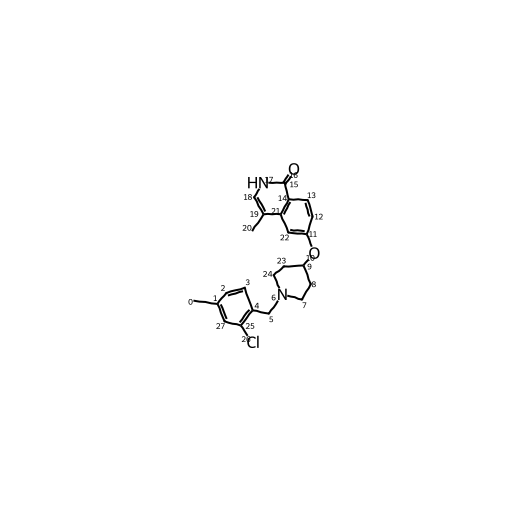 Cc1ccc(CN2CCC(Oc3ccc4c(=O)[nH]cc(C)c4c3)CC2)c(Cl)c1